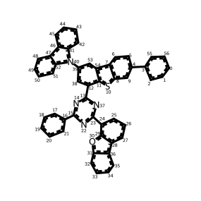 c1ccc(-c2ccc3c(c2)sc2c(-c4nc(-c5ccccc5)nc(-c5cccc6c5oc5ccccc56)n4)cc(-n4c5ccccc5c5ccccc54)cc23)cc1